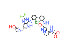 COC(=O)C(C)(C)N[C@@H]1CCCn2nc(C(=O)Nc3cccc(-c4cccc(Nc5nc(C(F)F)nc6cc(CN7CC[C@@H](O)C7)cnc56)c4Cl)c3Cl)cc21